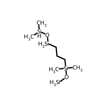 C[SiH](C)O[SiH2]CCC[Si](C)(C)O[SiH3]